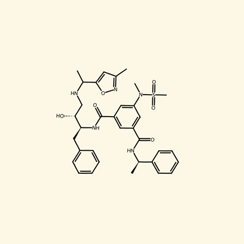 Cc1cc(C(C)NC[C@@H](O)[C@H](Cc2ccccc2)NC(=O)c2cc(C(=O)N[C@H](C)c3ccccc3)cc(N(C)S(C)(=O)=O)c2)on1